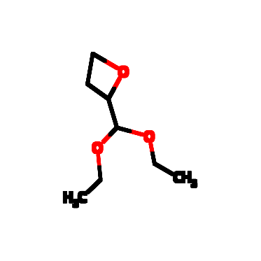 CCOC(OCC)C1CCO1